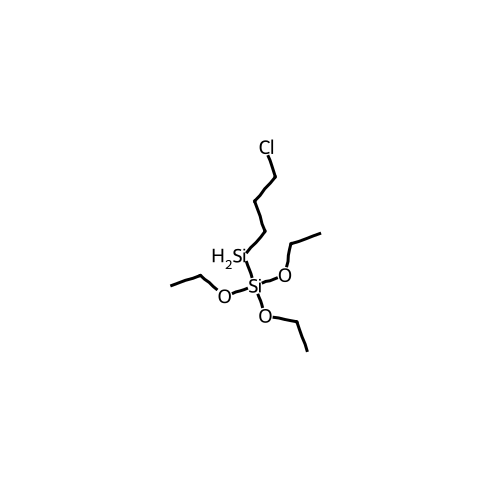 CCO[Si](OCC)(OCC)[SiH2]CCCCl